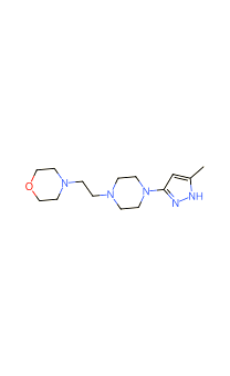 Cc1cc(N2CCN(CCN3CCOCC3)CC2)n[nH]1